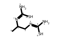 CC(CN=C(N)S)N=C(N)S